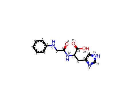 O=C(CNc1ccccc1)NC(Cc1c[nH]cn1)C(=O)O